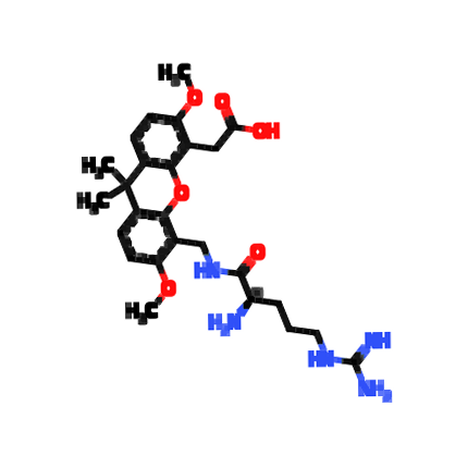 COc1ccc2c(c1CNC(=O)[C@H](N)CCCNC(=N)N)Oc1c(ccc(OC)c1CC(=O)O)C2(C)C